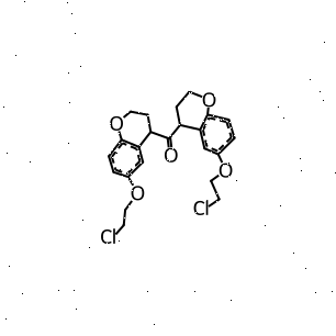 O=C(C1CCOc2ccc(OCCCl)cc21)C1CCOc2ccc(OCCCl)cc21